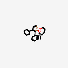 c1ccc(-c2ccsc2-c2ccccc2[SiH]2CCCCO2)cc1